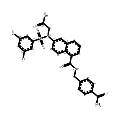 NC(=O)c1ccc(CNC(=O)c2cccc3cc(N(CC(=O)O)S(=O)(=O)c4cc(Cl)cc(Cl)c4)ccc23)cc1